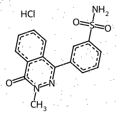 Cl.Cn1nc(-c2cccc(S(N)(=O)=O)c2)c2ccccc2c1=O